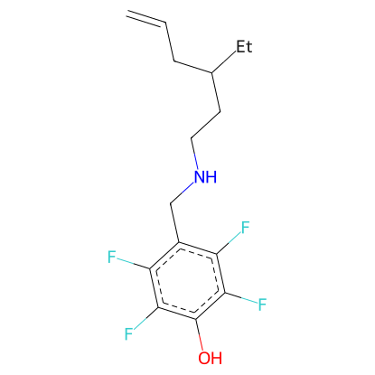 C=CCC(CC)CCNCc1c(F)c(F)c(O)c(F)c1F